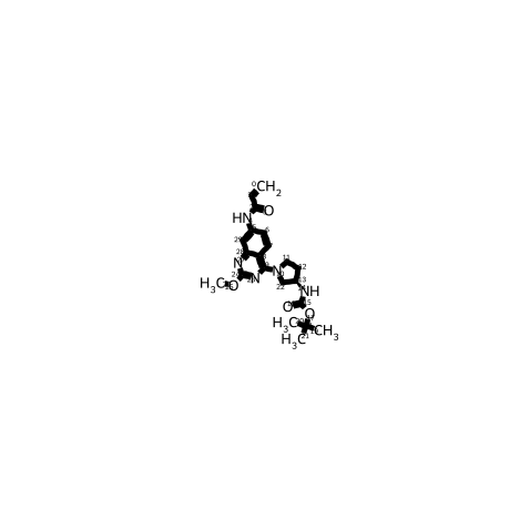 C=CC(=O)Nc1ccc2c(N3CC[C@@H](NC(=O)OC(C)(C)C)C3)nc(OC)nc2c1